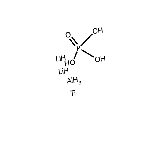 O=P(O)(O)O.[AlH3].[LiH].[LiH].[Ti]